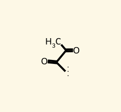 [C]C(=O)C(C)=O